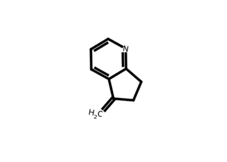 C=C1CCc2ncccc21